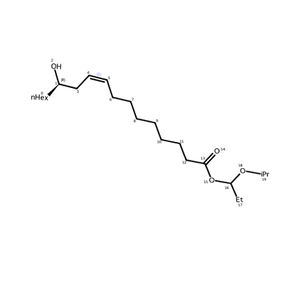 CCCCCC[C@@H](O)C/C=C\CCCCCCCC(=O)OC(CC)OC(C)C